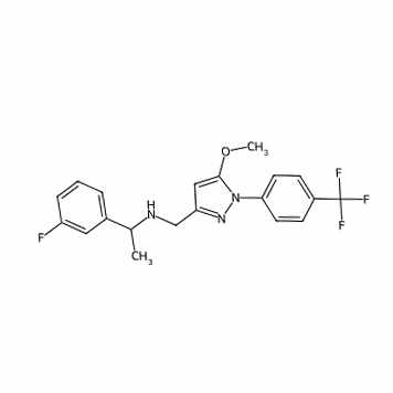 COc1cc(CNC(C)c2cccc(F)c2)nn1-c1ccc(C(F)(F)F)cc1